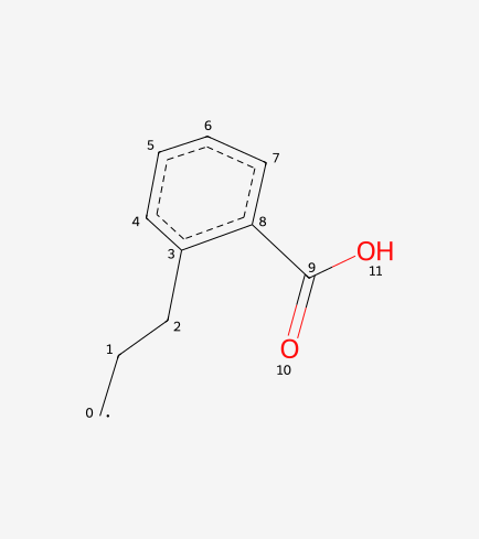 [CH2]CCc1ccccc1C(=O)O